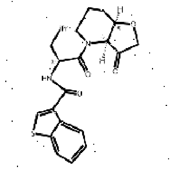 CC(C)C[C@H](NC(=O)c1csc2ccccc12)C(=O)N1CCC[C@H]2OCC(=O)[C@H]21